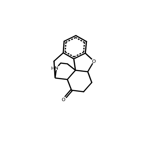 O=C1CCC2Oc3cccc4c3C23CCNC(C4)C13